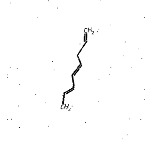 [CH2]C=CC=CCC=C